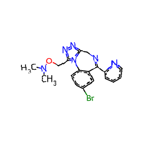 CN(C)OCc1nnc2n1-c1ccc(Br)cc1C(c1ccccn1)=NC2